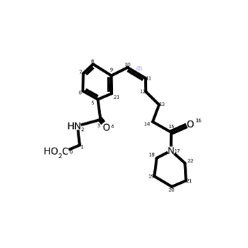 O=C(O)CNC(=O)c1cccc(/C=C\CCCC(=O)N2CCCCC2)c1